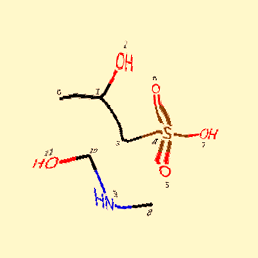 CC(O)CS(=O)(=O)O.CNCO